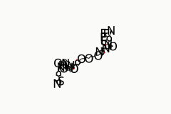 Cc1ncsc1-c1ccc(CNC(=O)[C@@H]2CCCN2C(=O)[C@@H](NC(=O)c2ccc(OCCOCCCOc3ccc(N4C(=S)N(c5ccc(C#N)c(C(F)(F)F)c5F)C(=O)C4(C)C)cn3)cc2)C(C)(C)C)cc1